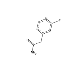 NC(=O)Cc1ccnc(F)c1